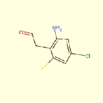 Nc1cc(Cl)cc(F)c1CC=O